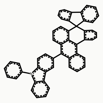 c1ccc(-n2c3ccccc3c3cc(-c4c5ccccc5c5c6c(cccc46)C4(c6ccccc6-c6ccccc64)c4ccccc4-5)ccc32)cc1